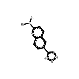 CCN(CC)c1ccc2cc(-c3nnn[nH]3)ccc2n1